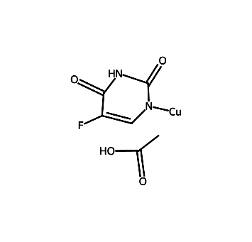 CC(=O)O.O=c1[nH]c(=O)[n]([Cu])cc1F